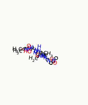 C=CC(=O)Nc1cc(Nc2nc(-c3ccnc(N4CCn5c(cc6c5CC(C)(C)C6)C4=O)c3CO)cnc2OC)ccc1N1CCN(C2CCN(c3cccc4c3C(=O)N(C3CCCCC3)C4=O)CC2)C[C@@H]1C